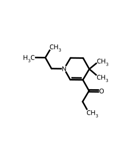 CCC(=O)C1=CN(CC(C)C)CCC1(C)C